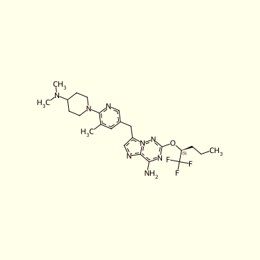 CCC[C@H](Oc1nc(N)c2ncc(Cc3cnc(N4CCC(N(C)C)CC4)c(C)c3)n2n1)C(F)(F)F